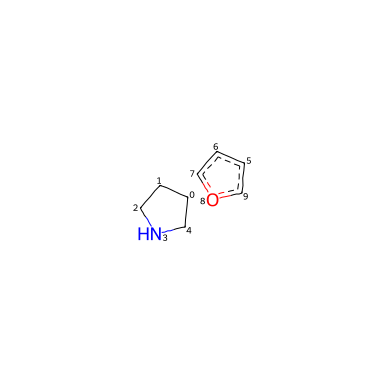 C1CCNC1.c1ccoc1